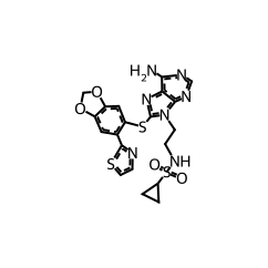 Nc1ncnc2c1nc(Sc1cc3c(cc1-c1nccs1)OCO3)n2CCNS(=O)(=O)C1CC1